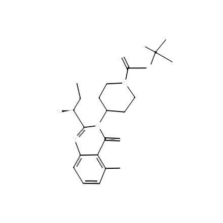 CC[C@H](N)c1nc2cccc(Cl)c2c(=O)n1C1CCN(C(=O)OC(C)(C)C)CC1